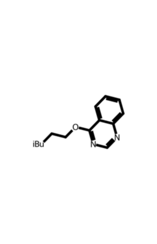 CCC(C)CCOc1ncnc2ccccc12